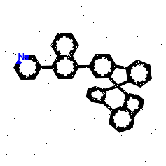 c1cncc(-c2ccc(-c3ccc4c(c3)C3(c5ccccc5-4)c4ccccc4-c4cccc5cccc3c45)c3ccccc23)c1